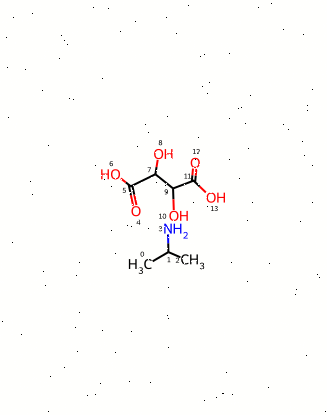 CC(C)N.O=C(O)C(O)C(O)C(=O)O